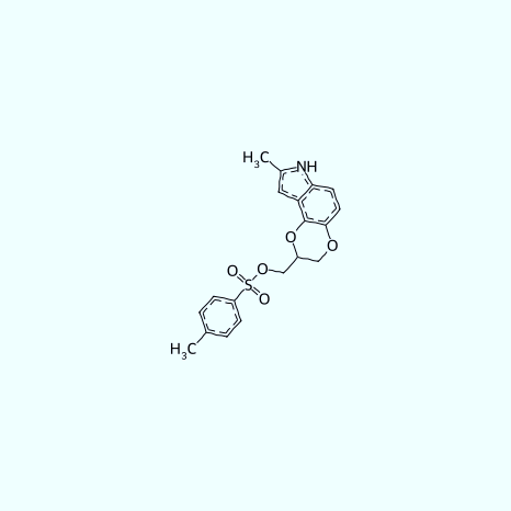 Cc1ccc(S(=O)(=O)OCC2COc3ccc4[nH]c(C)cc4c3O2)cc1